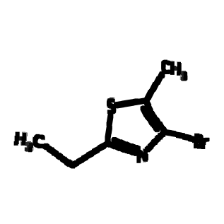 CCc1nc(Br)c(C)s1